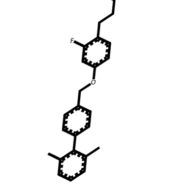 Cc1cccc(C)c1-c1ccc(COc2ccc(CCC(=O)O)c(F)c2)cc1